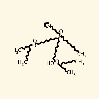 CCCCCCCCCCN(C(=O)CCCCN1CCCC1)C(CCCCCCCCC(=O)OCC(CCCC)CCCCCC)CCCCCCCCC(O)OCC(CCCC)CCCCCC